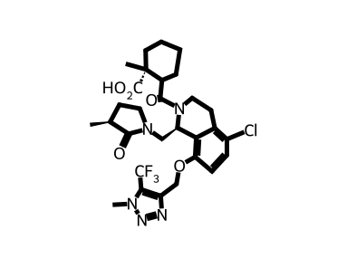 C[C@H]1CCN(C[C@@H]2c3c(OCc4nnn(C)c4C(F)(F)F)ccc(Cl)c3CCN2C(=O)C2CCCC[C@@]2(C)C(=O)O)C1=O